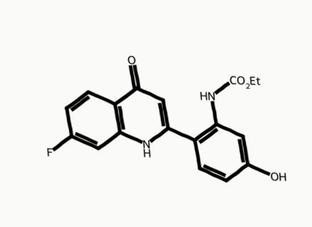 CCOC(=O)Nc1cc(O)ccc1-c1cc(=O)c2ccc(F)cc2[nH]1